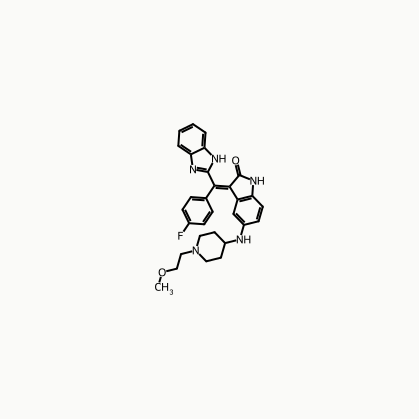 COCCN1CCC(Nc2ccc3c(c2)C(=C(c2ccc(F)cc2)c2nc4ccccc4[nH]2)C(=O)N3)CC1